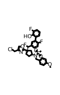 COc1ccc(CN([C@H]2CC[C@@](c3nc(CCl)co3)(C(F)c3ccc(F)c(-c4cccc(F)c4O)c3)C2)S(C)(=O)=O)cc1